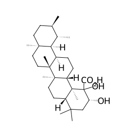 C[C@@H]1[C@H]2[C@H]3CC[C@@H]4[C@]5(C)[C@@H](CC[C@@]4(C)[C@]3(C)CC[C@@]2(C)CC[C@H]1C)C(C)(C)C[C@@H](O)C5(O)C(=O)O